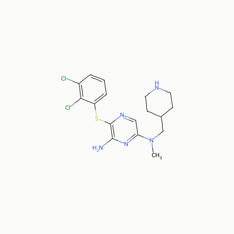 CN(CC1CCNCC1)c1cnc(Sc2cccc(Cl)c2Cl)c(N)n1